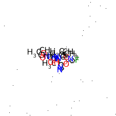 Cc1c(-c2cc(OC(CO[Si](C)(C)C(C)(C)C)c3ccc(F)cn3)c3ccnn3c2)nnn1[C@@H]1CCN(C(=O)OC(C)(C)C)C[C@H]1O